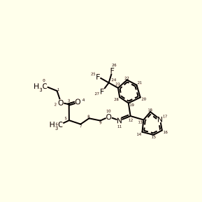 CCOC(=O)C(C)CCCON=C(c1cccnc1)c1cccc(C(F)(F)F)c1